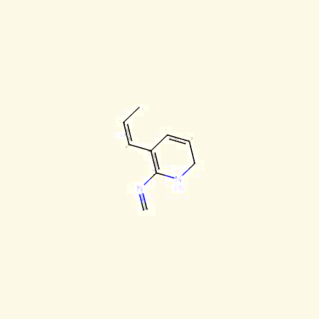 C=NC1=C(/C=C\C)C=CCN1